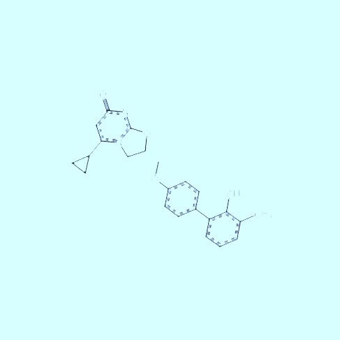 Cc1cccc(-c2ccc(OC[C@@H]3Cn4c(C5CC5)cc(=O)nc4O3)cc2)c1C